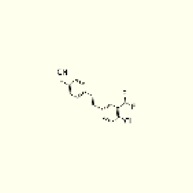 N#CCc1ccc(/C=C/c2ccc(Cl)c(C(F)F)c2)cc1